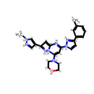 Cc1cccc(-c2ccn(-c3cc(N4CCOCC4)n4nc(-c5cnn(C)c5)cc4n3)n2)c1